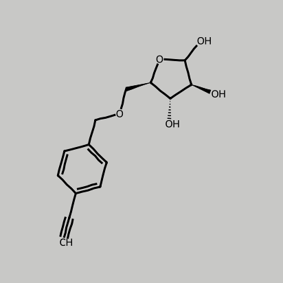 C#Cc1ccc(COC[C@H]2OC(O)[C@@H](O)[C@@H]2O)cc1